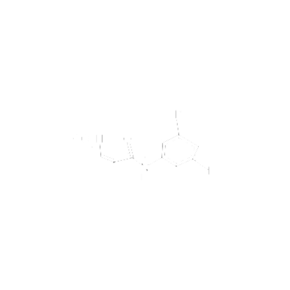 O=C(O)/C=C\C(=O)Nc1cc(I)cc(I)c1